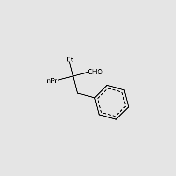 CCCC(C=O)(CC)Cc1ccccc1